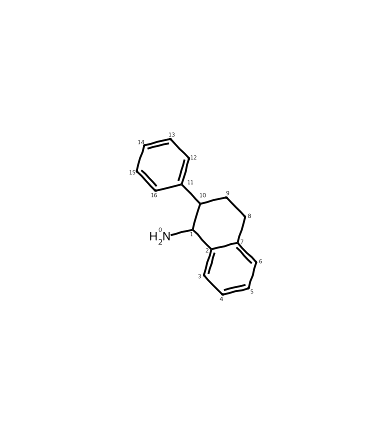 NC1c2ccccc2CCC1c1ccccc1